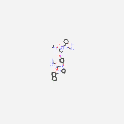 CNCC(=O)N[C@H](C(=O)N1CC(NC(=O)c2ccc(C(=O)N3C[C@H](NC(=O)[C@H](C)NC)C(=O)N(Cc4c(OC)ccc5cc(Br)ccc45)c4ccccc43)cc2)C[C@H]1C(=O)NC(C)C)C1CCCCC1